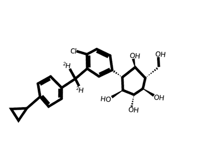 [2H]C([2H])(c1ccc(C2CC2)cc1)c1cc([C@H]2[C@H](O)[C@@H](O)[C@H](O)[C@@H](CO)[C@@H]2O)ccc1Cl